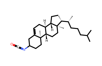 CC(C)CCC[C@@H](C)[C@H]1CC[C@H]2[C@@H]3CC=C4CC(N=C=O)CC[C@]4(C)[C@H]3CC[C@]12C